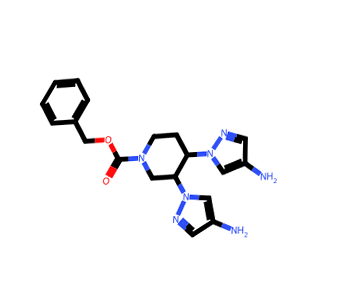 Nc1cnn(C2CCN(C(=O)OCc3ccccc3)CC2n2cc(N)cn2)c1